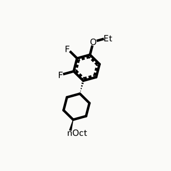 CCCCCCCC[C@H]1CC[C@H](c2ccc(OCC)c(F)c2F)CC1